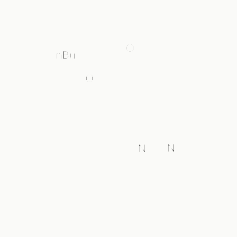 CCCCOC(=O)CCn1cccn1